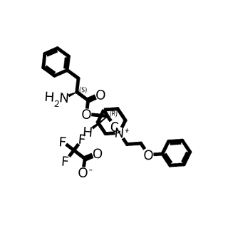 N[C@@H](Cc1ccccc1)C(=O)O[C@H]1C[N+]2(CCOc3ccccc3)CCC1CC2.O=C([O-])C(F)(F)F